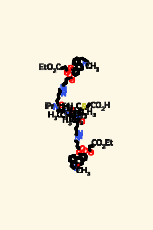 CCOC(=O)CCC(=O)Oc1ccc2c(c1OC(=O)CCCn1cc(CCCC(=O)N(CCC(C)(C)SCCC(=O)O)C(C)(C)C(C)(C)CN(C(=O)CC)C(C)(C)C(C)(C)CN(C(=O)CCCc3cn(CCCC(=O)Oc4ccc5c(c4OC(=O)CCC(=O)OCC)-c4cccc6c4C(C5)N(C)CC6)nn3)C(C)C)nn1)-c1cccc3c1[C@@H](C2)N(C)CC3